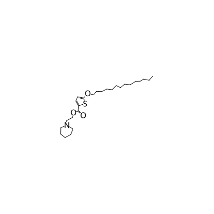 CCCCCCCCCCCCCCOc1ccc(C(=O)OCCN2CCCCC2)s1